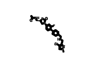 CC(=O)NC[C@H]1CN(c2ccc(-c3ccc(CNCc4nn(C)cc4Cl)cc3)c(F)c2)C(=O)O1